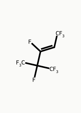 FC(=CC(F)(F)F)C(F)(C(F)(F)F)C(F)(F)F